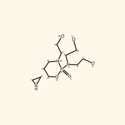 C1CN1.O=P1(N(CCCl)CCCl)OCCCN1CCCl